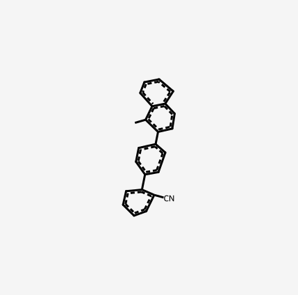 Cc1c(-c2ccc(-c3ccccc3C#N)cc2)ccc2ccccc12